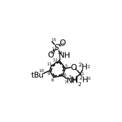 [2H]C([2H])([2H])Oc1c(N)cc(C(C)(C)C)cc1NS(C)(=O)=O